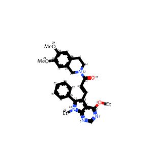 CCOc1ncnc2c1c(/C=C/C(=O)N1CCc3cc(OC)c(OC)cc3C1)c(-c1ccccc1)n2CC